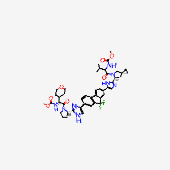 COC(=O)NC(C(=O)N1CC2(CC2)C[C@H]1c1ncc(-c2ccc3c(c2)C(F)(F)c2cc(-c4c[nH]c([C@@H]5CCCN5C(=O)[C@@H](NC(=O)OC)C5CCOCC5)n4)ccc2-3)[nH]1)C(C)C